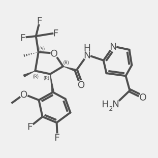 COc1c([C@H]2[C@@H](C)[C@@](C)(C(F)(F)F)O[C@H]2C(=O)Nc2cc(C(N)=O)ccn2)ccc(F)c1F